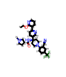 CCOc1ncccc1-c1ccc(C2(NC(=O)[C@@H]3CCN(C)C3)CCN(c3ccc(C(F)(F)F)cc3C#N)CC2)cn1